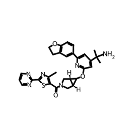 Cc1nc(-c2ncccn2)sc1C(=O)N1C[C@@H]2C(Oc3cc(C(C)(C)N)cc(-c4ccc5c(c4)CCO5)n3)[C@@H]2C1